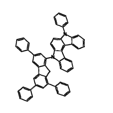 c1ccc(-c2cc(-c3ccccc3)c3c(c2)-c2cc(-c4ccccc4)cc(-n4c5ccccc5c5c6c7ccccc7n(-c7ccccc7)c6ccc54)c2C3)cc1